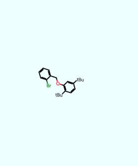 CC(C)(C)c1ccc(C(C)(C)C)c(OCc2ccccc2Br)c1